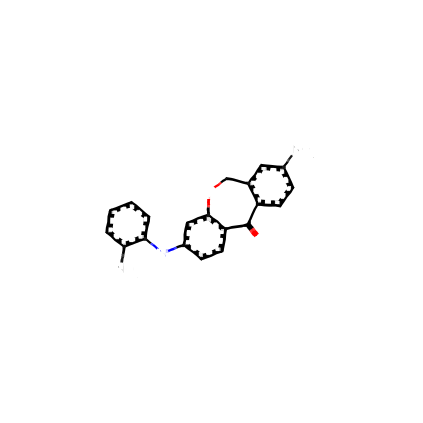 O=C1c2ccc([N+](=O)[O-])cc2COc2cc(Nc3ccccc3[N+](=O)[O-])ccc21